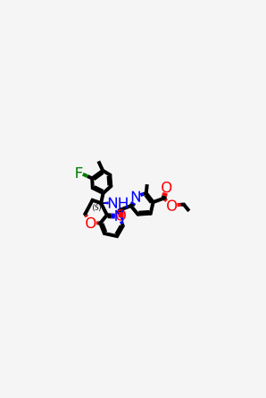 CCOC(=O)c1ccc(C(=O)N[C@]2(c3ccc(C)c(F)c3)CCOc3cccnc32)nc1C